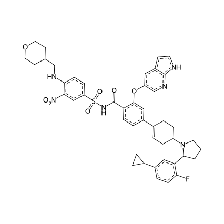 O=C(NS(=O)(=O)c1ccc(NCC2CCOCC2)c([N+](=O)[O-])c1)c1ccc(C2=CCC(N3CCCC3c3cc(C4CC4)ccc3F)CC2)cc1Oc1cnc2[nH]ccc2c1